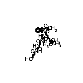 COC(=O)C(Cc1ccccc1)NC(=O)C(CCCC[N+](C)(C)C)NC(=O)CNC(=O)CNC(=O)CNC(=O)C=CCO